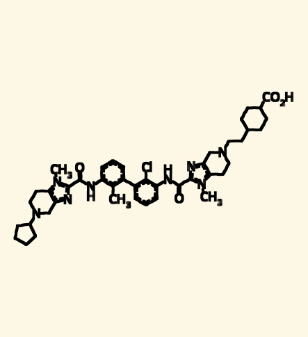 Cc1c(NC(=O)c2nc3c(n2C)CCN(C2CCCC2)C3)cccc1-c1cccc(NC(=O)c2nc3c(n2C)CCN(CCC2CCC(C(=O)O)CC2)C3)c1Cl